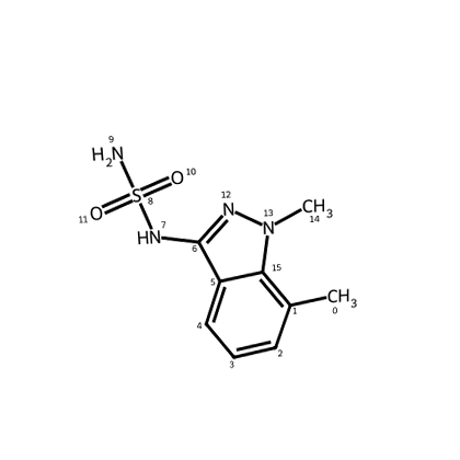 Cc1cccc2c(NS(N)(=O)=O)nn(C)c12